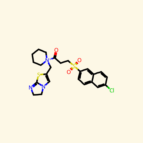 O=C(CCS(=O)(=O)c1ccc2cc(Cl)ccc2c1)[N+]1(CC2=CN3CCN=C3S2)CCCCC1